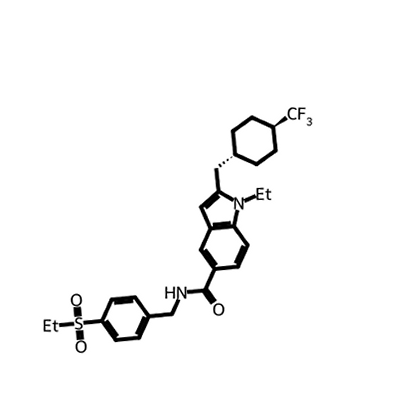 CCn1c(C[C@H]2CC[C@H](C(F)(F)F)CC2)cc2cc(C(=O)NCc3ccc(S(=O)(=O)CC)cc3)ccc21